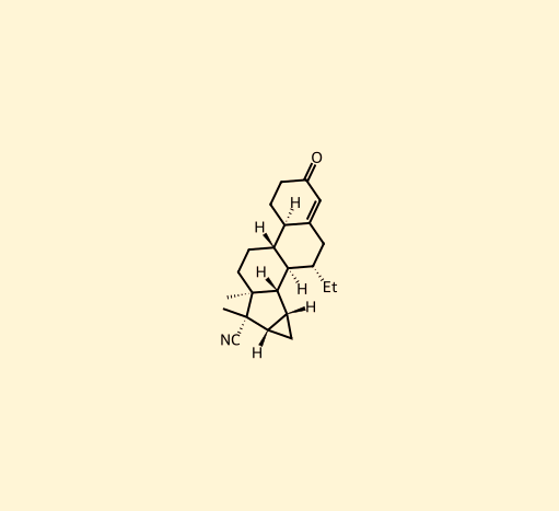 CC[C@H]1CC2=CC(=O)CC[C@@H]2[C@H]2CC[C@@]3(C)[C@@H]([C@@H]4C[C@@H]4[C@]3(C)C#N)[C@H]12